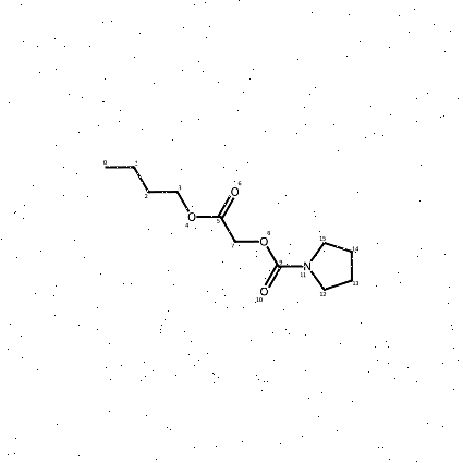 CCCCOC(=O)COC(=O)N1CCCC1